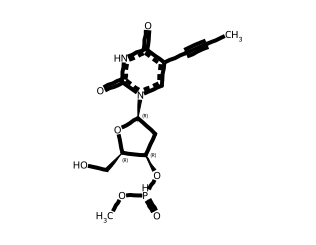 CC#Cc1cn([C@H]2C[C@@H](O[PH](=O)OC)[C@@H](CO)O2)c(=O)[nH]c1=O